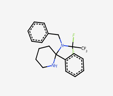 FC(F)(F)C(F)(F)N(Cc1ccccc1)C1(c2ccccc2)CCCCN1